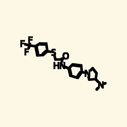 CN(C)C1CCN(c2ccc(NC(=O)CSc3ccc(C(F)(F)F)cc3)cc2)C1